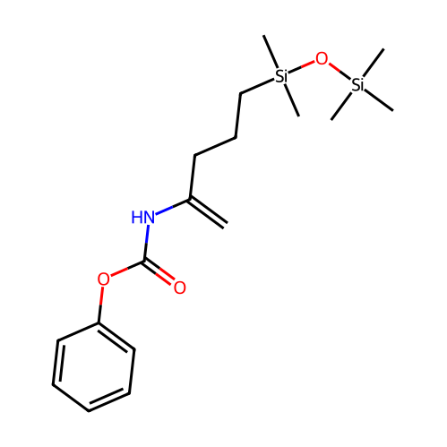 C=C(CCC[Si](C)(C)O[Si](C)(C)C)NC(=O)Oc1ccccc1